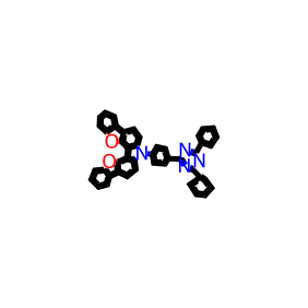 c1ccc(-c2nc(-c3ccccc3)nc(-c3ccc(-n4c5ccc6c7ccccc7oc6c5c5c6oc7ccccc7c6ccc54)cc3)n2)cc1